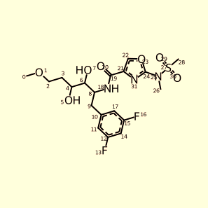 COCCC(O)C(O)C(Cc1cc(F)cc(F)c1)NC(=O)c1coc(N(C)S(C)(=O)=O)n1